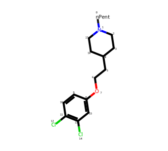 CCCCCN1CCC(CCOc2ccc(Cl)c(Cl)c2)CC1